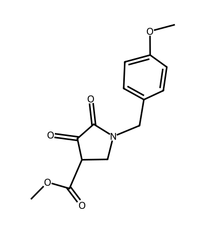 COC(=O)C1CN(Cc2ccc(OC)cc2)C(=O)C1=O